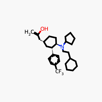 C=C(O)C[C@@H]1CC[C@@H](N(CCC2CCCCC2)C2CCCC2)[C@H](c2ccc(C(F)(F)F)cc2)C1